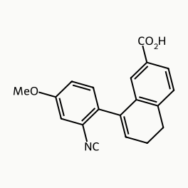 [C-]#[N+]c1cc(OC)ccc1C1=CCCc2ccc(C(=O)O)cc21